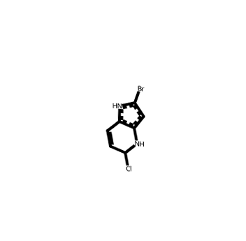 ClC1C=Cc2[nH]c(Br)cc2N1